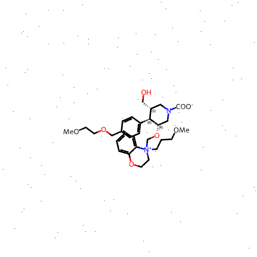 COCCC[N+]1(CO[C@H]2CN(C(=O)[O-])C[C@@H](CO)[C@@H]2c2ccc(COCCOC)cc2)CCOc2ccccc21